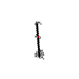 C[C@@H](O)[C@@H](O)[C@H](O)[C@@H](O)C(=O)NCCCCCCCCCCCC(=O)NCCCCCCCCCCCC(N)=O